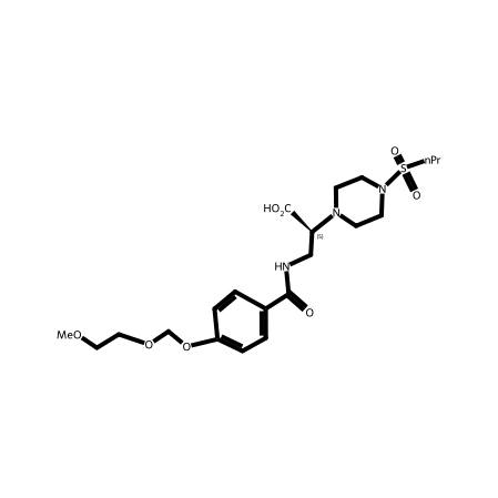 CCCS(=O)(=O)N1CCN([C@@H](CNC(=O)c2ccc(OCOCCOC)cc2)C(=O)O)CC1